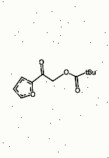 CC(C)(C)C(=O)OCC(=O)c1ccco1